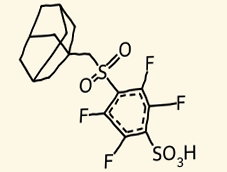 O=S(=O)(O)c1c(F)c(F)c(S(=O)(=O)CC23CC4CC(CC(C4)C2)C3)c(F)c1F